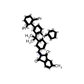 Cc1ccc2c(c1)C(=O)/C(=C\c1ccc3c(c1)C(C)(C)c1cc(-c4c(C(C)C)cccc4C(C)C)ccc1N3c1ccccc1)C2=O